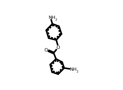 Nc1ccc(OC(=O)c2cccc(N)c2)cc1